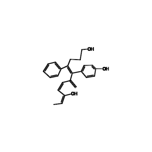 C=C(/C=C\C(O)=C/C)/C(=C(/CCCO)c1ccccc1)c1ccc(O)cc1